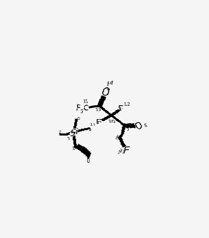 C=C[Si](C)(C)C.O=C(CF)C(F)(F)C(=O)C(F)(F)F